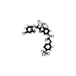 CCS(=O)(=O)c1ccc(CC(=O)Nc2ccc3c(c2)nc(C(C)(C)Oc2ccc(Cl)cc2F)n3C)cc1